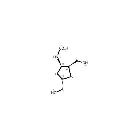 O=C(O)N[C@@H]1C[C@@H](CO)C[C@@H]1CO